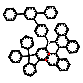 c1ccc(-c2ccc(-c3ccccc3)c(-c3ccc(N(c4ccc5c(c4)C(c4ccccc4)(c4ccccc4)c4ccccc4-5)c4c(-c5cccc6ccccc56)c5ccccc5c5ccccc45)cc3)c2)cc1